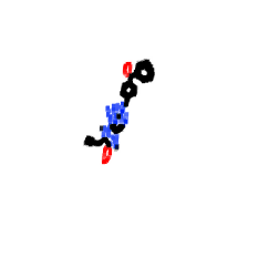 C#CCC1C(=O)N(C)c2cnc(NCc3ccc(C(=O)c4ccccc4)cc3)nc2N1C